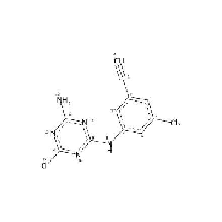 C#Cc1cc(Cl)cc(Nc2nc(N)nc(Cl)n2)c1